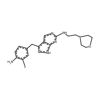 Nc1ccc(Cc2n[nH]c3nc(NCCN4CCOCC4)ncc23)cc1F